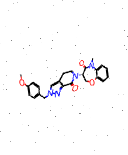 COc1ccc(Cn2cc3c(n2)C(=O)N([C@H]2COc4ccccc4N(C)C2=O)CC3)cc1